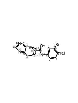 O=C(Nc1ccc(Cl)c(Br)c1)N1C2CCC1c1cncnc1C2